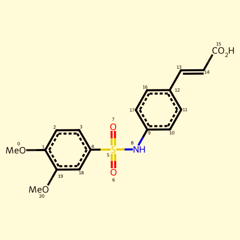 COc1ccc(S(=O)(=O)Nc2ccc(C=CC(=O)O)cc2)cc1OC